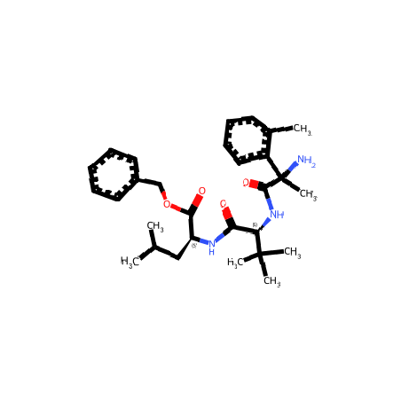 Cc1ccccc1C(C)(N)C(=O)N[C@H](C(=O)N[C@@H](CC(C)C)C(=O)OCc1ccccc1)C(C)(C)C